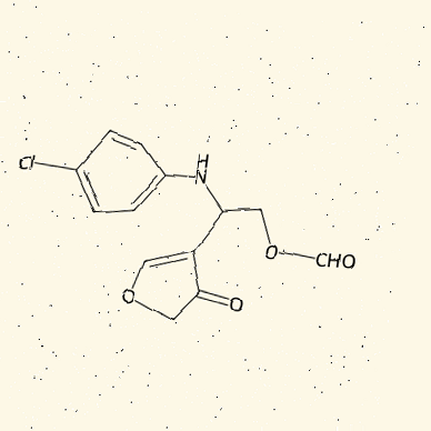 O=COCC(Nc1ccc(Cl)cc1)C1=COCC1=O